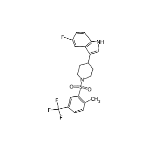 Cc1ccc(C(F)(F)F)cc1S(=O)(=O)N1CCC(c2c[nH]c3ccc(F)cc23)CC1